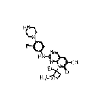 CCC1(n2c(=O)c(C#N)cc3cnc(Nc4ccc(N5CCNCC5)c(F)c4)nc32)CC[C@H]1C